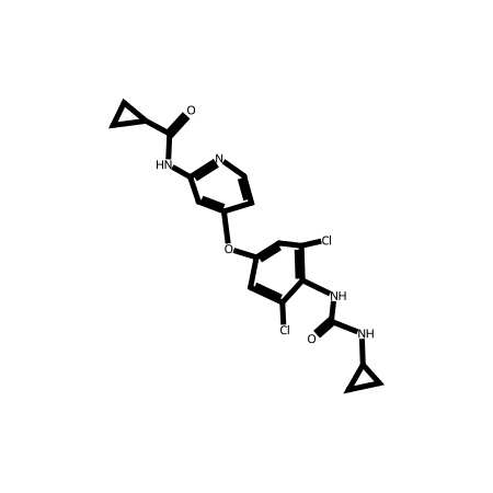 O=C(Nc1c(Cl)cc(Oc2ccnc(NC(=O)C3CC3)c2)cc1Cl)NC1CC1